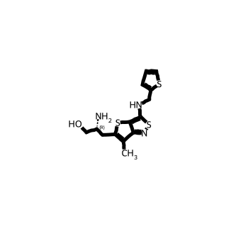 Cc1c(C[C@@H](N)CO)sc2c(NCc3cccs3)snc12